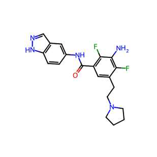 Nc1c(F)c(CCN2CCCC2)cc(C(=O)Nc2ccc3[nH]ncc3c2)c1F